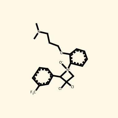 CN(C)CCCOc1ccccc1[N+]1([O-])CC(Cl)(Cl)C1c1cccc(C(F)(F)F)c1